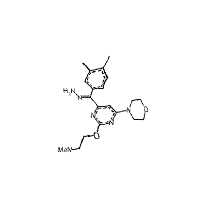 CNCCOc1nc(C(=NN)c2ccc(C)c(C)c2)cc(N2CCOCC2)n1